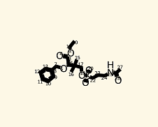 CCOC(=O)[C@H](OCc1ccccc1)C(C)(C)COS(=O)(=O)CCCNC(C)=O